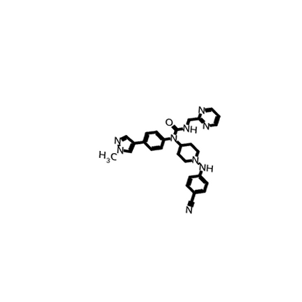 Cn1cc(-c2ccc(N(C(=O)NCc3ncccn3)C3CCN(Nc4ccc(C#N)cc4)CC3)cc2)cn1